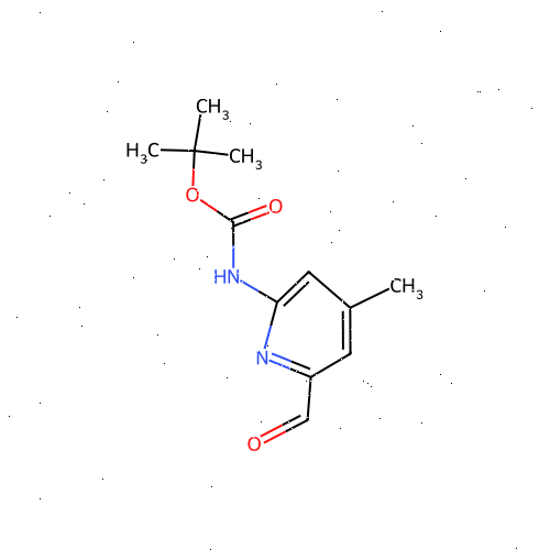 Cc1cc(C=O)nc(NC(=O)OC(C)(C)C)c1